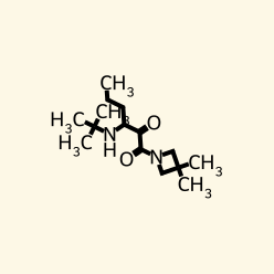 CCCC(NC(C)(C)C)C(=O)C(=O)N1CC(C)(C)C1